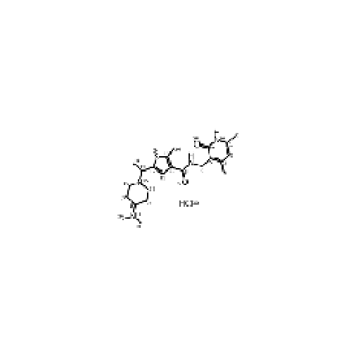 Cc1cc(C)c(CNC(=O)c2cc(C(C)N3CCC(N(C)C)CC3)sc2C)c(=O)[nH]1.Cl